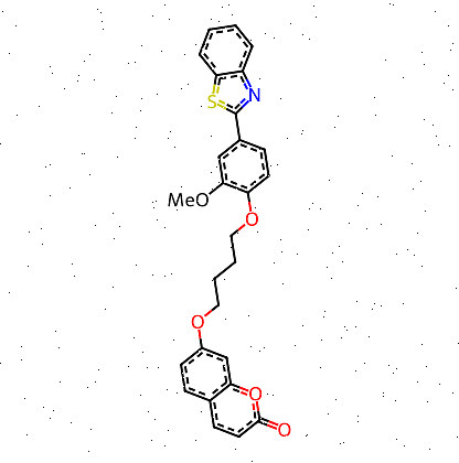 COc1cc(-c2nc3ccccc3s2)ccc1OCCCCOc1ccc2ccc(=O)oc2c1